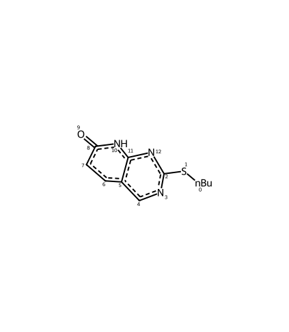 CCCCSc1ncc2ccc(=O)[nH]c2n1